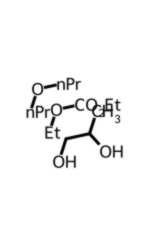 CC(O)CO.CCCOCCC.CCOC(=O)OCC